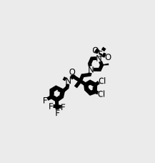 C[C@H]1CN(CCC(C)(C(=O)N(C)Cc2ccc(F)c(C(F)(F)F)c2)c2ccc(Cl)c(Cl)c2)CCN1S(C)(=O)=O